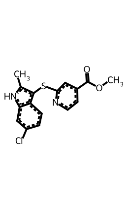 COC(=O)c1ccnc(Sc2c(C)[nH]c3cc(Cl)ccc23)c1